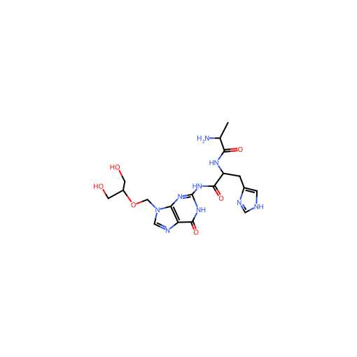 CC(N)C(=O)NC(Cc1c[nH]cn1)C(=O)Nc1nc2c(ncn2COC(CO)CO)c(=O)[nH]1